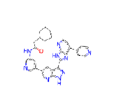 O=C(CC1CCCCC1)Nc1cncc(-c2cnc3[nH]nc(-c4nc5c(-c6ccncc6)ccnc5[nH]4)c3c2)c1